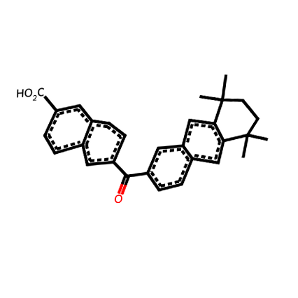 CC1(C)CCC(C)(C)c2cc3cc(C(=O)c4ccc5cc(C(=O)O)ccc5c4)ccc3cc21